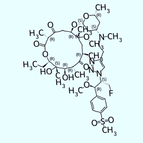 CC[C@H]1OC(=O)[C@H](C)C(=O)C[C@@H](O[C@H]2C[C@@H](N(C)CCc3cn([C@H](CF)[C@H](OC)c4ccc(S(C)(=O)=O)cc4)nn3)C[C@@H](C)O2)[C@](C)(OC)C[C@@H](C)C(=O)[C@H](C)[C@@H](O)[C@]1(C)O